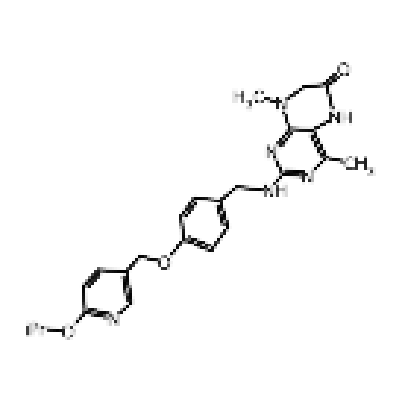 Cc1nc(NCc2ccc(OCc3ccc(OC(C)C)nc3)cc2)nc2c1NC(=O)CN2C